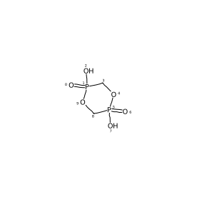 O=P1(O)COP(=O)(O)CO1